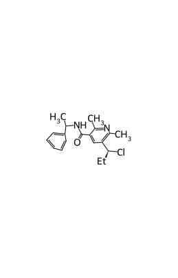 CC[C@H](Cl)c1cc(C(=O)NC(C)c2ccccc2)c(C)nc1C